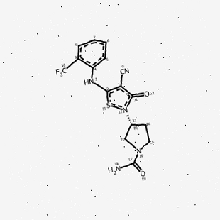 N#Cc1c(Nc2ccccc2C(F)(F)F)sn([C@@H]2CCN(C(N)=O)C2)c1=O